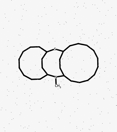 CN1C2CCCCCCCCCCC(CC2)SC2CCCCCCCCC1CC2